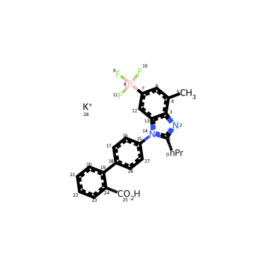 CCCc1nc2c(C)cc([B-](F)(F)F)cc2n1-c1ccc(-c2ccccc2C(=O)O)cc1.[K+]